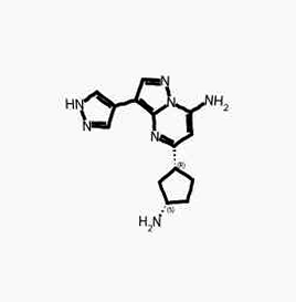 Nc1cc([C@@H]2CC[C@H](N)C2)nc2c(-c3cn[nH]c3)cnn12